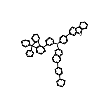 c1ccc(-c2ccc(-c3ccc4cc(N(c5ccc(-c6ccc7c(c6)oc6ccccc67)cc5)c5cccc(-c6cccc7c6-c6ccccc6C7(c6ccccc6)c6ccccc6)c5)ccc4c3)cc2)cc1